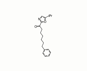 CC(C)c1cnc(C(=O)CCCCCCc2ccccc2)o1